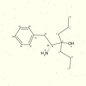 CCCC(O)(CCC)[C@H](N)Cc1ccccc1